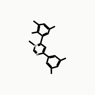 Cc1cc(C)cc(-c2cc(-c3cc(C)cc(C)c3C)[n+](C)cn2)c1